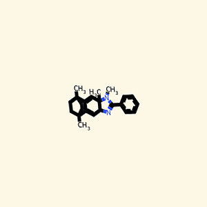 CN1C(c2ccccc2)=NC2C=C3C(=CC21C)C1(C)CCC3(C)CC1